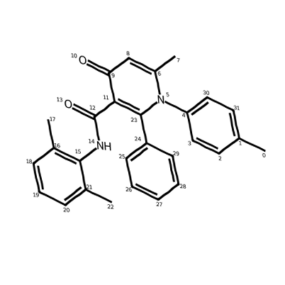 Cc1ccc(-n2c(C)cc(=O)c(C(=O)Nc3c(C)cccc3C)c2-c2ccccc2)cc1